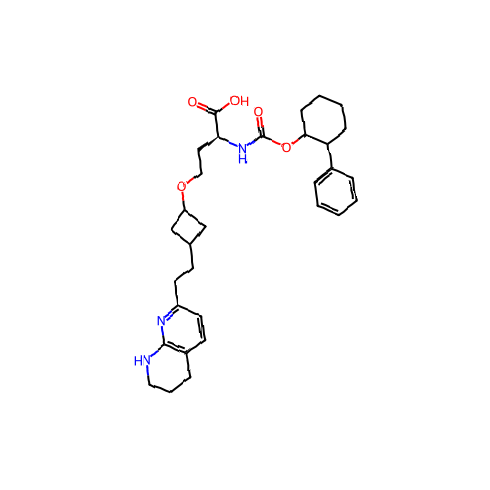 O=C(N[C@@H](CCOC1CC(CCc2ccc3c(n2)NCCC3)C1)C(=O)O)OC1CCCCC1c1ccccc1